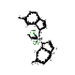 C[CH]=[Hf]([Cl])([Cl])([CH]1C=Cc2ccc(C)cc21)[CH]1C=Cc2ccc(C)cc21